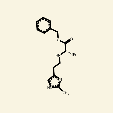 Cc1nc(CCN[C@H](C(=O)OCc2ccccc2)C(C)C)c[nH]1